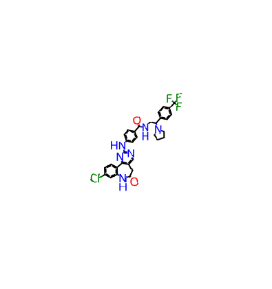 O=C1Cc2cnc(Nc3ccc(C(=O)NCC(c4ccc(C(F)(F)F)cc4)N4CCCC4)cc3)nc2-c2ccc(Cl)cc2N1